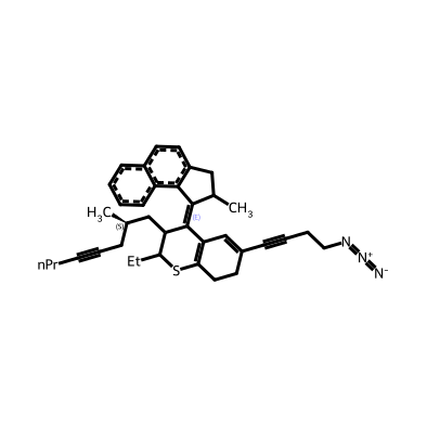 CCCC#CC[C@@H](C)CC1/C(=C2\c3c(ccc4ccccc34)CC2C)C2=C(CCC(C#CCCN=[N+]=[N-])=C2)SC1CC